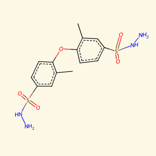 Cc1cc(S(=O)(=O)NN)ccc1Oc1ccc(S(=O)(=O)NN)cc1C